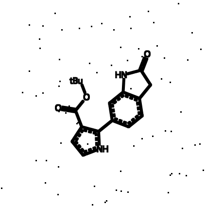 CC(C)(C)OC(=O)c1cc[nH]c1-c1ccc2c(c1)NC(=O)C2